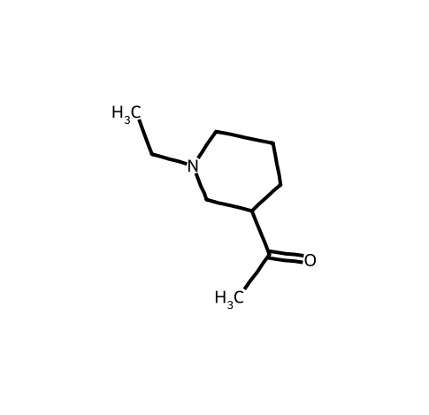 CCN1CCCC(C(C)=O)C1